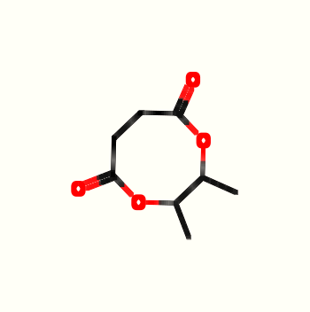 CC1OC(=O)CCC(=O)OC1C